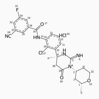 C[C@@H]1C[C@H](N2C(=N)N[C@](C)(c3cccc(NC(=O)c4cc(F)cc(C#N)c4)c3Cl)CC2=O)CCO1.Cl